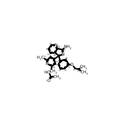 CC(=O)O.Cc1cc(C2(c3cccc(OCC(C)C)c3)N=C(N)c3ncccc32)cc(C)n1